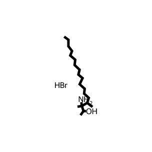 Br.CCCCCCCCCCCCCCC(C)C(C)(N)C(C)O